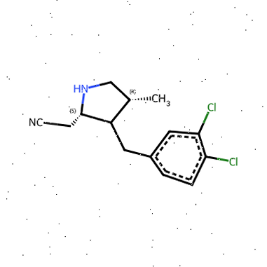 C[C@H]1CN[C@@H](CC#N)C1Cc1ccc(Cl)c(Cl)c1